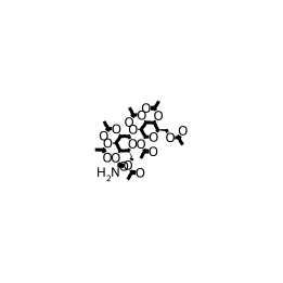 CC(=O)OC[C@H]1O[C@H](OC(C)=O)[C@H](O[C@@H]2O[C@H](COC(C)=O)[C@@H](OC(N)=O)[C@H](OC(C)=O)[C@@H]2OC(C)=O)[C@H](OC(C)=O)[C@H]1OC(C)=O